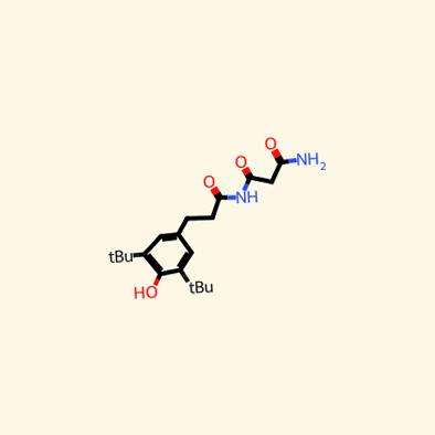 CC(C)(C)c1cc(CCC(=O)NC(=O)CC(N)=O)cc(C(C)(C)C)c1O